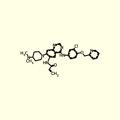 C=CC(=O)Nc1cc2c(Nc3ccc(OCc4ccccn4)c(Cl)c3)ncnc2cc1N1CCC(N(C)C)CC1